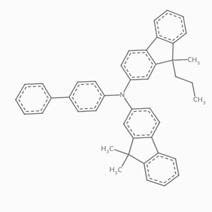 CCCC1(C)c2ccccc2-c2ccc(N(c3ccc(-c4ccccc4)cc3)c3ccc4c(c3)C(C)(C)c3ccccc3-4)cc21